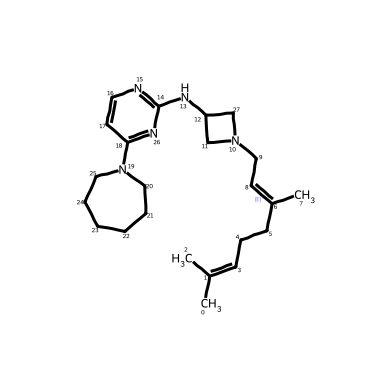 CC(C)=CCC/C(C)=C/CN1CC(Nc2nccc(N3CCCCCC3)n2)C1